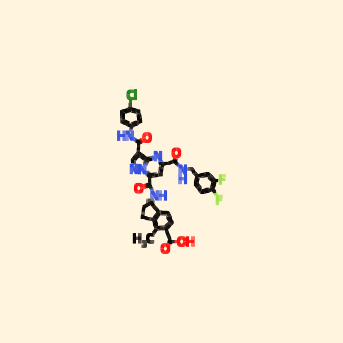 Cc1c(C(=O)O)ccc2c1CC[C@@H]2NC(=O)c1cc(C(=O)NCc2ccc(F)c(F)c2)nc2c(C(=O)Nc3ccc(Cl)cc3)cnn12